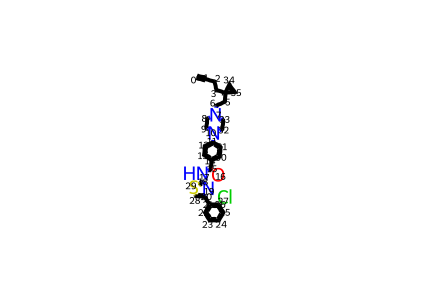 C#CCCC1(CCN2CCN(c3ccc(C(=O)Nc4nc(-c5ccccc5Cl)cs4)cc3)CC2)C=C1